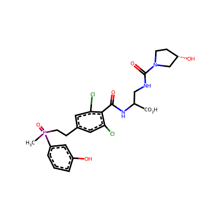 CP(=O)(CCc1cc(Cl)c(C(=O)NC(CNC(=O)N2CC[C@H](O)C2)C(=O)O)c(Cl)c1)c1cccc(O)c1